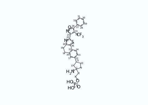 NC1(CCOP(=O)(O)O)CCC(c2ccc3c(c2)CCc2nc(-c4noc(-c5ccccc5)c4C(F)(F)F)sc2-3)C1